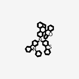 c1ccc(-n2c3ccccc3c3ccc(N(c4ccc5c(c4)C4(c6ccccc6Oc6ccccc64)c4cccc6cccc-5c46)c4ccc5sc6ccccc6c5c4)cc32)cc1